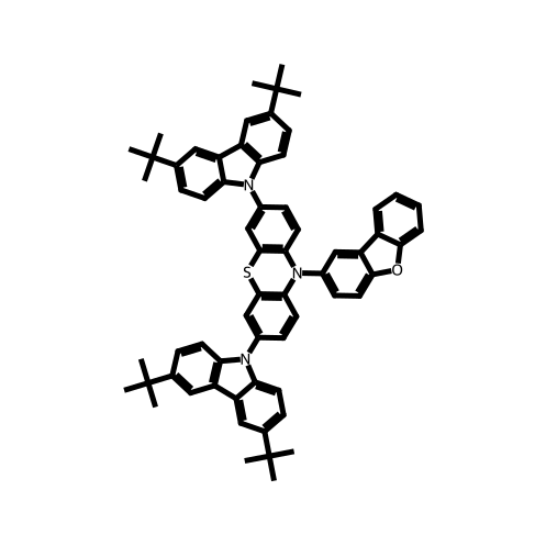 CC(C)(C)c1ccc2c(c1)c1cc(C(C)(C)C)ccc1n2-c1ccc2c(c1)Sc1cc(-n3c4ccc(C(C)(C)C)cc4c4cc(C(C)(C)C)ccc43)ccc1N2c1ccc2oc3ccccc3c2c1